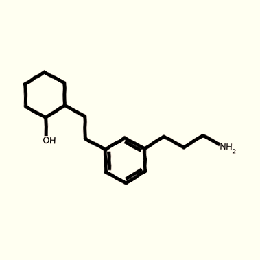 NCCCc1cccc(CCC2CCCCC2O)c1